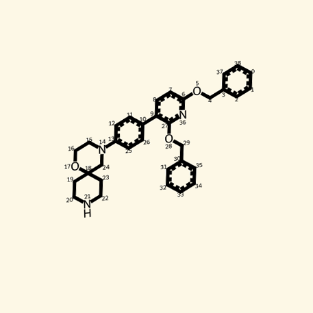 c1ccc(COc2ccc(-c3ccc(N4CCOC5(CCNCC5)C4)cc3)c(OCc3ccccc3)n2)cc1